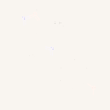 COc1ccc(-c2csc(-c3c(C)noc3[AsH2])n2)cc1